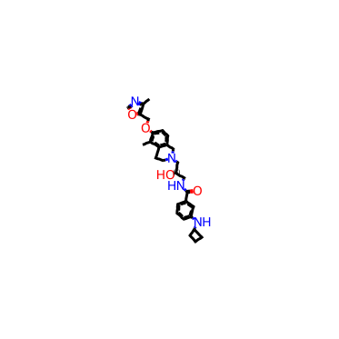 Cc1ncoc1COc1ccc2c(c1C)CCN(C[C@@H](O)CNC(=O)c1cccc(NC3CCC3)c1)C2